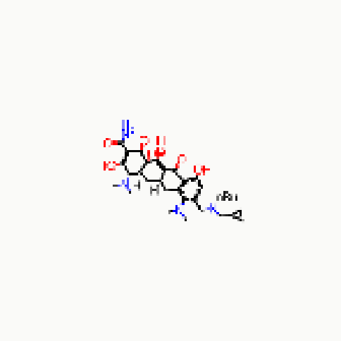 CCCCN(Cc1cc(O)c2c(c1N(C)C)C[C@H]1C[C@H]3[C@H](N(C)C)C(O)=C(C(N)=O)C(=O)[C@@]3(O)C(O)=C1C2=O)CC1CC1